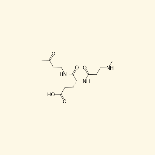 CNCCC(=O)N[C@H](CCC(=O)O)C(=O)NCCC(C)=O